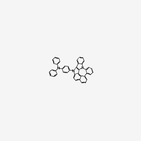 c1ccc(N(c2ccccc2)c2ccc(-n3c4ccc5cccc6c7ccccc7n7c8ccccc8c3c7c4c56)cc2)cc1